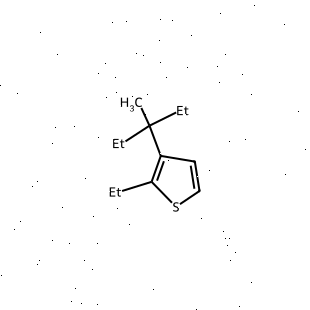 CCc1sccc1C(C)(CC)CC